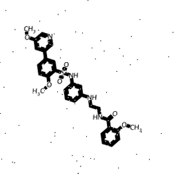 COc1cncc(-c2ccc(OC)c(S(=O)(=O)Nc3cccc(NCCNC(=O)c4ccccc4OC)c3)c2)c1